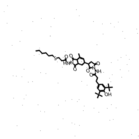 CCCCCCSCCC(=O)NN1C(=O)C2CC(C3CC(=O)N(NC(=O)CCc4cc(C(C)(C)C)c(O)c(C(C)(C)C)c4)C3=O)C=C(C)C2C1=O